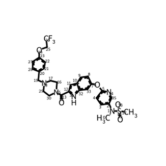 CN(c1ccc(Oc2ccc3cc(C(=O)N4CCN(Cc5ccc(OCC(F)(F)F)cc5)CC4)[nH]c3c2)nc1)S(C)(=O)=O